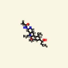 CC[C@@H](O)c1cc(C)c(-c2cc3cnc(NC(=O)C4CC4)cc3n(C)c2=O)c(C)c1